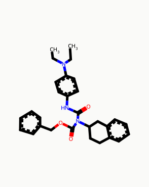 CCN(CC)c1ccc(NC(=O)N(C(=O)OCc2ccccc2)C2CCc3ccccc3C2)cc1